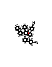 N#Cc1ccc(-c2ccc(-n3c4ccccc4c4ccc(C#N)cc43)cc2)c(-n2c3ccccc3c3c(-n4c5ccccc5c5ccccc54)cccc32)c1